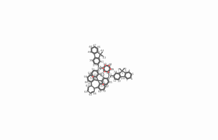 CC1(C)c2ccccc2-c2ccc(N(c3ccccc3)c3cccc4c3Oc3c(N(c5ccccc5)c5ccc6c(c5)C(C)(C)c5ccccc5-6)cccc3C43c4ccccc4C4C=CC=CC4c4ccccc43)cc21